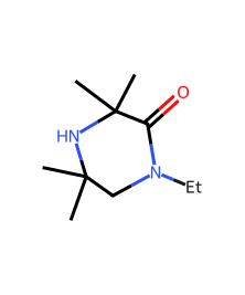 CCN1CC(C)(C)NC(C)(C)C1=O